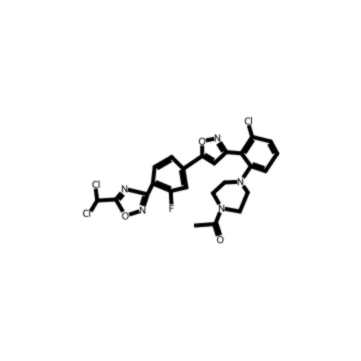 CC(=O)N1CCN(c2cccc(Cl)c2-c2cc(-c3ccc(-c4noc(C(Cl)Cl)n4)c(F)c3)on2)CC1